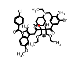 CCOC(=O)C(O)(C(=O)Cc1c(C)n(C(=O)c2ccc(Cl)cc2)c2ccc(OC)cc12)C(O)(C(=O)OCC)C(=O)c1cc(Br)c(N)c(CN(CC)C2CCCCC2)c1